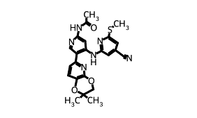 CSc1cc(C#N)cc(Nc2cc(NC(C)=O)ncc2-c2ccc3c(n2)OCC(C)(C)O3)n1